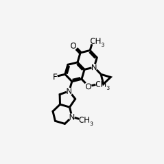 COc1c(N2CC3CCCN(C)C3C2)c(F)cc2c(=O)c(C)cn(C3CC3)c12